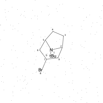 CC(C)(C)N1C2CCC1CC(Br)C2